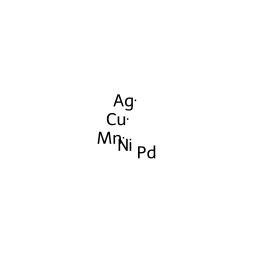 [Ag].[Cu].[Mn].[Ni].[Pd]